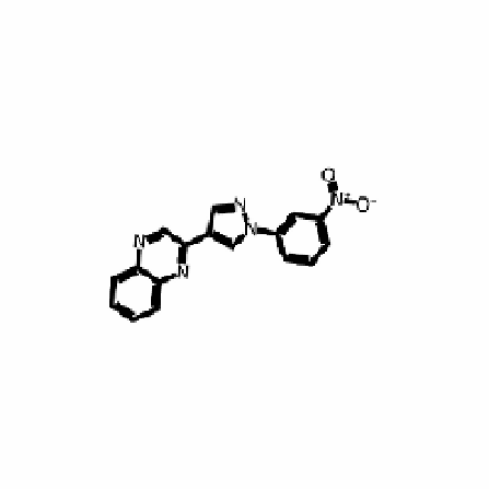 O=[N+]([O-])c1cccc(-n2cc(-c3cnc4ccccc4n3)cn2)c1